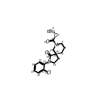 CC(C)(C)OC(=O)N1CCC[C@]2(CCN(c3ccccc3Cl)C2=O)C1